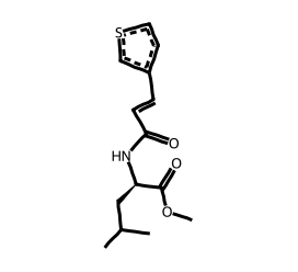 COC(=O)[C@@H](CC(C)C)NC(=O)/C=C/c1ccsc1